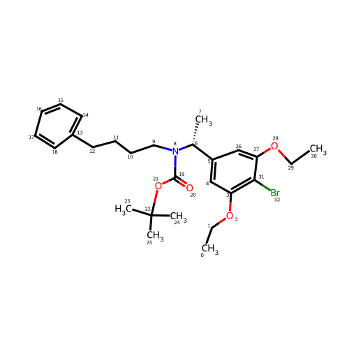 CCOc1cc([C@@H](C)N(CCCCc2ccccc2)C(=O)OC(C)(C)C)cc(OCC)c1Br